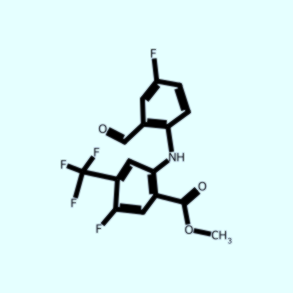 COC(=O)c1cc(F)c(C(F)(F)F)cc1Nc1ccc(F)cc1C=O